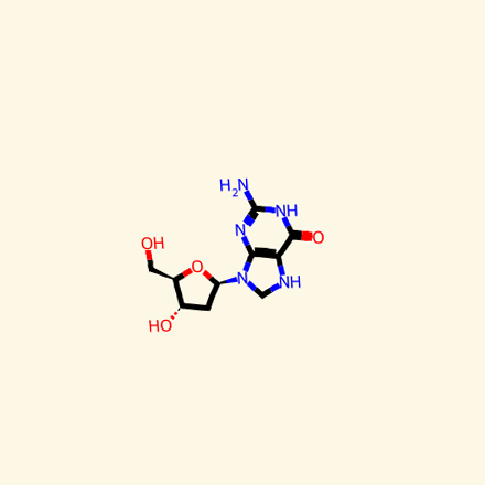 Nc1nc2c(c(=O)[nH]1)NCN2[C@H]1C[C@H](O)[C@@H](CO)O1